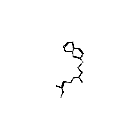 CCC(C)=CCCC(C)CCOc1ccc2ccccc2c1